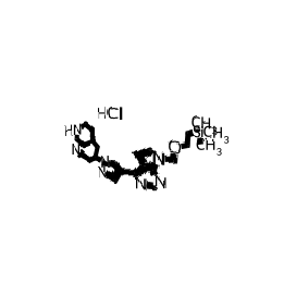 C[Si](C)(C)CCOCn1ccc2c(-c3cnn(C(CC#N)CC4CCNCC4)c3)ncnc21.Cl